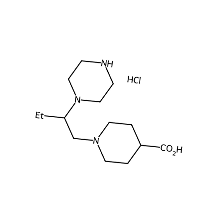 CCC(CN1CCC(C(=O)O)CC1)N1CCNCC1.Cl